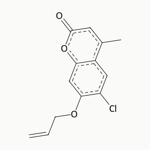 C=CCOc1cc2oc(=O)cc(C)c2cc1Cl